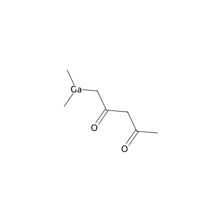 CC(=O)CC(=O)[CH2][Ga]([CH3])[CH3]